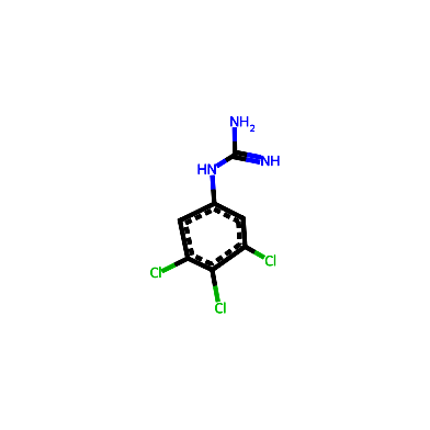 N=C(N)Nc1cc(Cl)c(Cl)c(Cl)c1